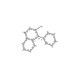 Cc1cnc2ccccc2c1-c1ccccc1